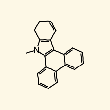 Cn1c2c(c3c4ccccc4c4ccccc4c31)C=CCC2